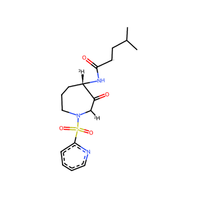 [2H]C1C(=O)[C@@]([2H])(NC(=O)[CH]CC(C)C)CCCN1S(=O)(=O)c1ccccn1